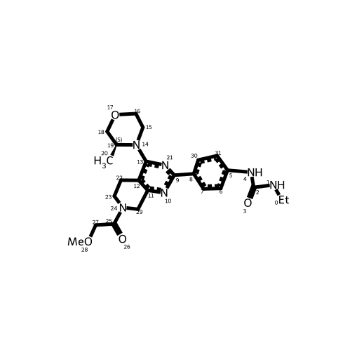 CCNC(=O)Nc1ccc(-c2nc3c(c(N4CCOC[C@@H]4C)n2)CCN(C(=O)COC)C3)cc1